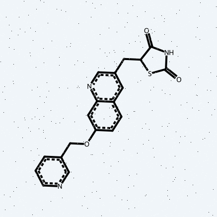 O=C1NC(=O)C(Cc2cnc3cc(OCc4cccnc4)ccc3c2)S1